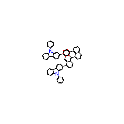 c1ccc(-c2cccc3cccc(-c4c5cccc(-c6ccc7c8ccccc8n(-c8ccccc8)c7c6)c5cc5c(-c6ccc7c8ccccc8n(-c8ccccc8)c7c6)cccc45)c23)cc1